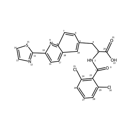 O=C(NC(Cc1ccc2nc(-c3nccs3)ccc2c1)C(=O)O)c1c(Cl)cccc1Cl